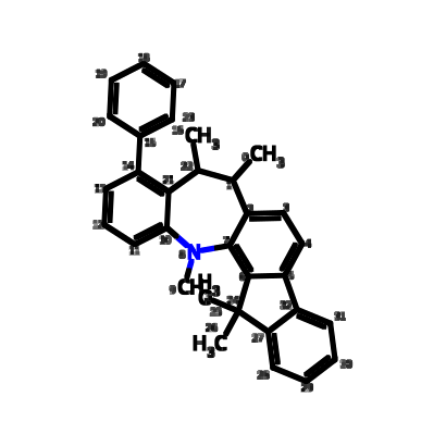 CC1c2ccc3c(c2N(C)c2cccc(-c4ccccc4)c2C1C)C(C)(C)c1ccccc1-3